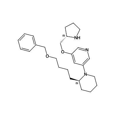 c1ccc(COCCCC[C@@H]2CCCCN2c2cncc(OC[C@@H]3CCCN3)c2)cc1